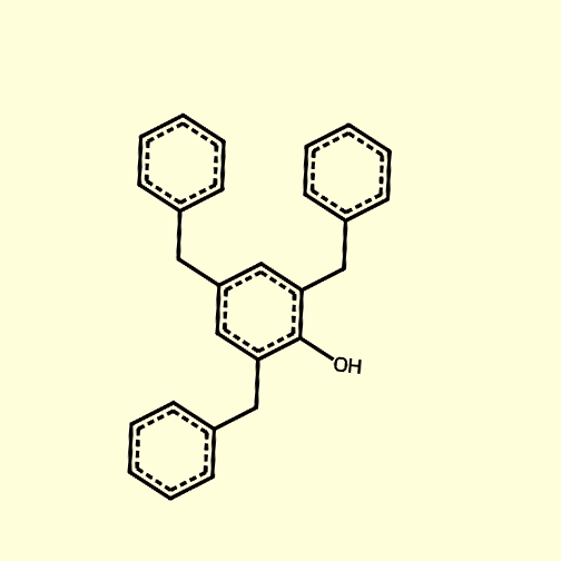 Oc1c(Cc2ccccc2)cc(Cc2ccccc2)cc1Cc1ccccc1